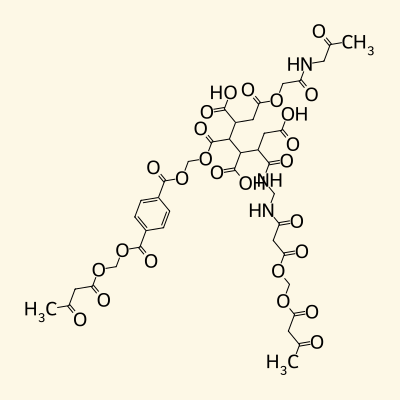 CC(=O)CNC(=O)COC(=O)CC(C(=O)O)C(C(=O)OCOC(=O)c1ccc(C(=O)OCOC(=O)CC(C)=O)cc1)C(C(=O)O)C(CC(=O)O)C(=O)NCNC(=O)CC(=O)OCOC(=O)CC(C)=O